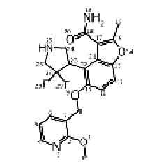 COc1ncccc1COc1ccc2oc(C)c(C(N)=O)c2c1C1CNCC1(F)F